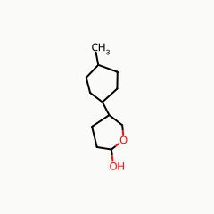 CC1CCC(C2CCC(O)OC2)CC1